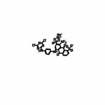 Nc1c(S(=O)(=O)[O-])cc(Nc2ccc(Nc3nc(Cl)nc(Cl)n3)cc2)c2c1C(=O)c1c(cccc1S(=O)(=O)[O-])C2=O.[Na+].[Na+]